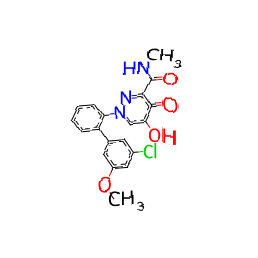 CNC(=O)c1nn(-c2ccccc2-c2cc(Cl)cc(OC)c2)cc(O)c1=O